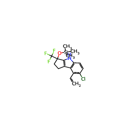 C=Cc1c(Cl)ccc2[nH]c3c(c12)CCC3(O[Si](C)(C)C)C(F)(F)F